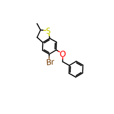 CC1Cc2cc(Br)c(OCc3ccccc3)cc2S1